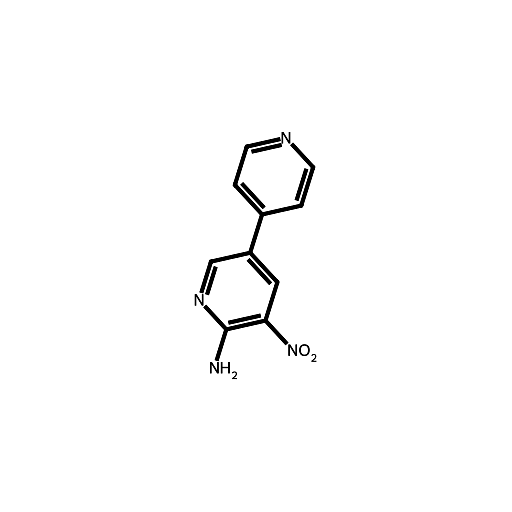 Nc1ncc(-c2ccncc2)cc1[N+](=O)[O-]